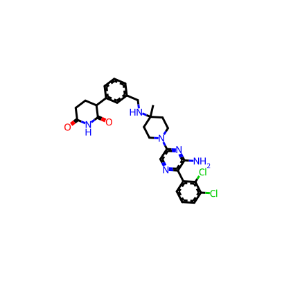 CC1(NCc2cccc(C3CCC(=O)NC3=O)c2)CCN(c2cnc(-c3cccc(Cl)c3Cl)c(N)n2)CC1